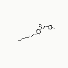 CCCCCCCCCCc1ccc(C(=O)C=Cc2ccc(C)cc2)cc1